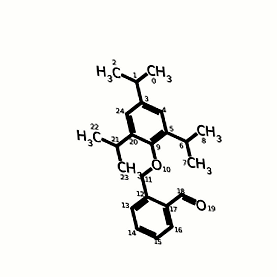 CC(C)c1cc(C(C)C)c(OCc2ccccc2C=O)c(C(C)C)c1